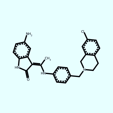 CC(Nc1ccc(CN2CCc3ccc(Cl)cc3C2)cc1)=C1C(=O)Nc2ccc(N)cc21